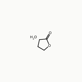 O.O=C1CCCO1